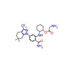 CC1(C)CCc2c(C(F)(F)F)nn(-c3ccc(C(N)=O)c(NC4CCCCC4OC(=O)CN)c3)c2C1